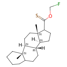 C[C@]12CCCCC1CC[C@@H]1[C@@H]2CC[C@]2(C)C(C(=S)OCF)CC[C@@H]12